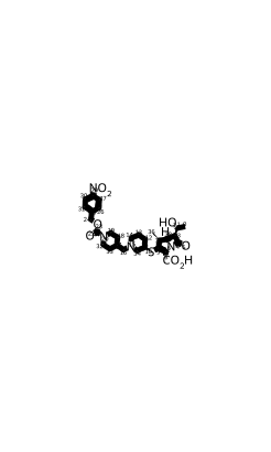 CC(O)[C@H]1C(=O)N2C(C(=O)O)=C(S[C@@H]3CCCN(CC4CCN(C(=O)OCc5ccc([N+](=O)[O-])cc5)CC4)C3)[C@H](C)[C@H]12